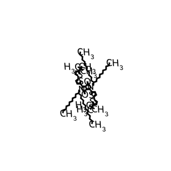 CCCCCCCCCCCCC(CCCCCCCCCC)CN1C(=O)C2=C(c3ccc(-c4ccc(C(C)(C)C)s4)s3)N(CC(CCCCCCCCCC)CCCCCCCCCCCC)C(=O)C2=C1c1ccc(-c2ccc(C(C)(C)C)s2)s1